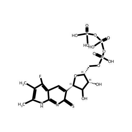 Cc1[nH]c2nc(=S)c([C@@H]3O[C@H](COP(=O)(O)OP(=O)(O)OP(=O)(O)O)[C@H](O)C3O)cc-2c(F)c1C